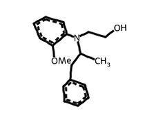 COc1ccccc1N(CCO)C(C)Cc1ccccc1